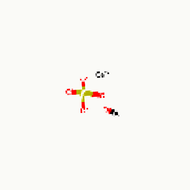 O=S(=O)([O-])[O-].[Ca+2].[O]=[AlH]